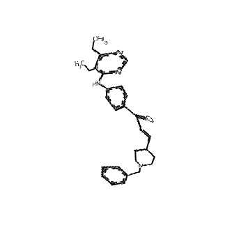 CCc1ncnc(Nc2ccc(C(=O)/C=C/C3CCN(Cc4ccccc4)CC3)cc2)c1CC